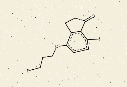 O=C1CCc2c(OCCCF)ccc(I)c21